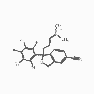 [2H]c1c([2H])c(C2(CCCN(C)C)OCc3cc(C#N)ccc32)c([2H])c([2H])c1F